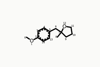 COc1ccc(CC2(C)CCCO2)cc1